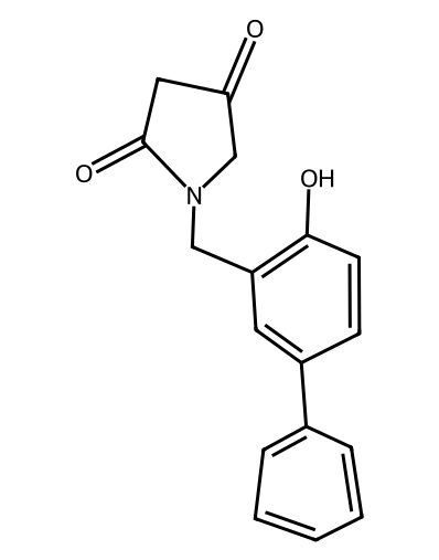 O=C1CC(=O)N(Cc2cc(-c3ccccc3)ccc2O)C1